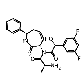 C[C@H](N)C(=O)N(C(=O)[C@H](O)c1cc(F)cc(F)c1)[C@H]1C=CC[C@H](c2ccccc2)NC1=O